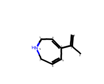 C=C(C)C1=CCNCC=C1